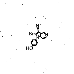 N#Cc1c(Br)n(-c2ccc(O)cc2)c2ccncc12